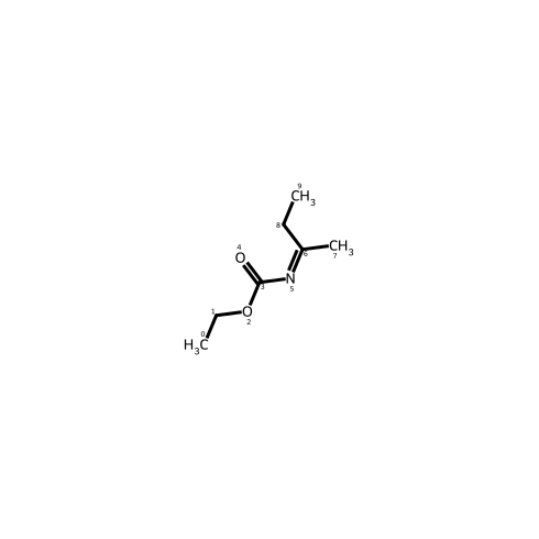 CCOC(=O)N=C(C)CC